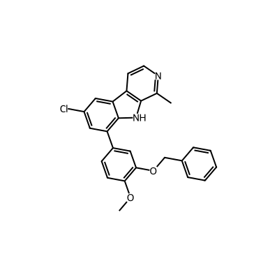 COc1ccc(-c2cc(Cl)cc3c2[nH]c2c(C)nccc23)cc1OCc1ccccc1